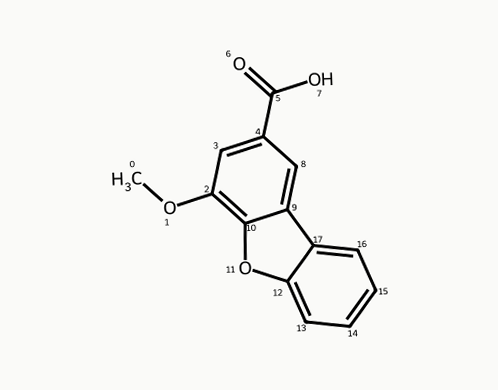 COc1cc(C(=O)O)cc2c1oc1ccccc12